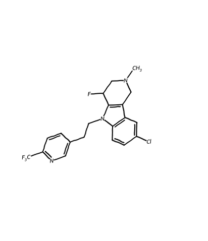 CN1Cc2c(n(CCc3ccc(C(F)(F)F)nc3)c3ccc(Cl)cc23)C(F)C1